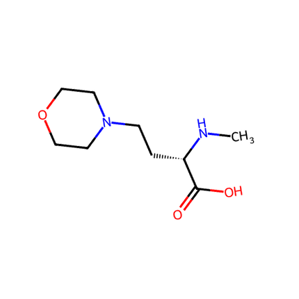 CN[C@@H](CCN1CCOCC1)C(=O)O